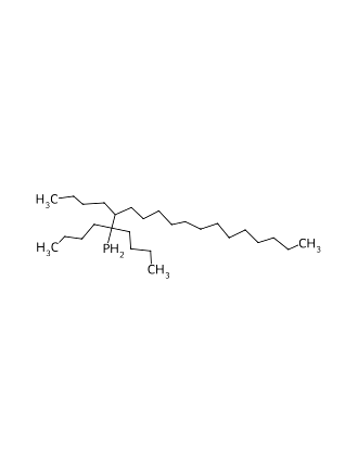 CCCCCCCCCCCCCC(CCCC)C(P)(CCCC)CCCC